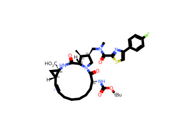 C[C@H]1[C@@H](CN(C)C(=O)c2nc(-c3ccc(F)cc3)cs2)CN2C(=O)[C@H](NC(=O)OC(C)(C)C)CCCCC/C=C\[C@@H]3C[C@@]3(C(=O)O)NC(=O)[C@H]12